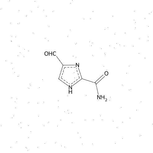 NC(=O)c1nc(C=O)c[nH]1